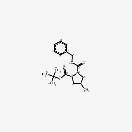 C[C@@H]1CN(C(=O)OCc2ccccc2)N(C(=O)OC(C)(C)C)C1